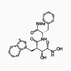 CNC(=O)[C@H](Cc1ccccc1)NC(=O)[C@H](Cc1csc2ccccc12)[C@H](O)C(=O)NO